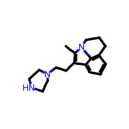 Cc1c(CCN2CCNCC2)c2cccc3c2n1CCC3